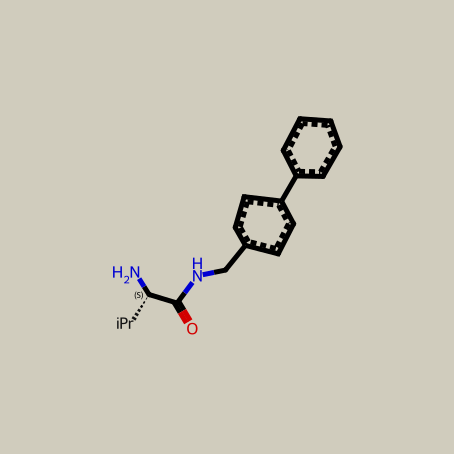 CC(C)[C@H](N)C(=O)NCc1ccc(-c2ccccc2)cc1